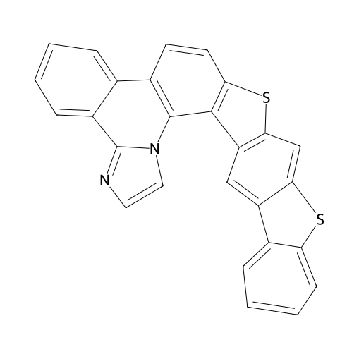 c1ccc2c(c1)sc1cc3sc4ccc5c6ccccc6c6nccn6c5c4c3cc12